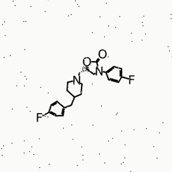 O=C1O[C@@H](CN2CCC(Cc3ccc(F)cc3)CC2)CN1c1ccc(F)cc1